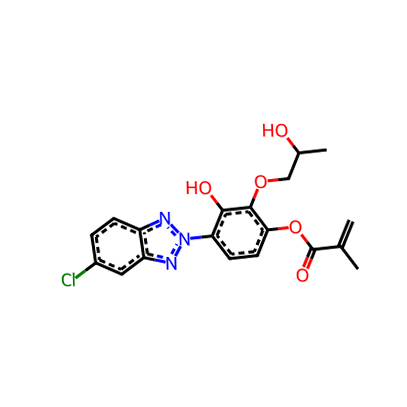 C=C(C)C(=O)Oc1ccc(-n2nc3ccc(Cl)cc3n2)c(O)c1OCC(C)O